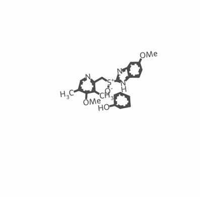 COc1ccc2[nH]c([S+]([O-])Cc3ncc(C)c(OC)c3C)nc2c1.Oc1ccccc1